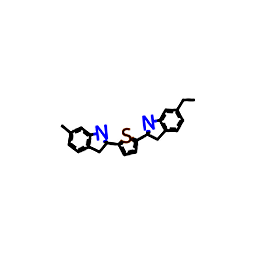 CCc1ccc2c(c1)N=C(c1ccc(C3=Nc4cc(C)ccc4C3)s1)C2